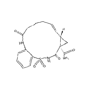 NC(=O)[C@@]12C[C@H]1/C=C/CCCC(=O)Nc1ccccc1S(=O)(=O)NC2=O